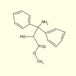 COC(=O)C(O)C(N)(c1ccccc1)c1ccccc1